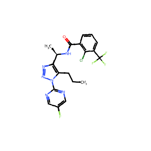 CCCc1c([C@@H](C)NC(=O)c2cccc(C(F)(F)F)c2Cl)nnn1-c1ncc(F)cn1